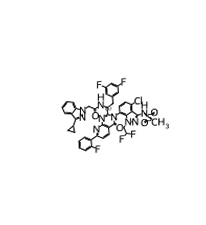 CS(=O)(=O)Nc1nn(CC(F)F)c2c(-n3c([C@H](Cc4cc(F)cc(F)c4)NC(=O)Cn4nc(C5CC5)c5ccccc54)nc4nc(-c5ccccc5F)ccc4c3=O)ccc(Cl)c12